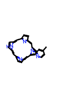 Cc1ccnc(-n2c3ccc2cc2nc(cc4ccc(cc5nc(c3)C=C5)[nH]4)C=C2)c1